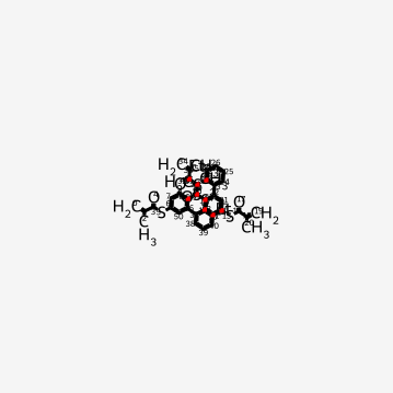 C=C(C)C(=O)Sc1ccc(Sc2ccc(SC(=O)C(=C)C)cc2-c2cccc(CC)c2SC(=O)C(=C)C)c(-c2cccc(CC)c2SC(=O)C(=C)C)c1